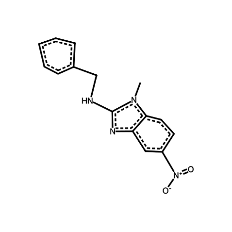 Cn1c(NCc2ccccc2)nc2cc([N+](=O)[O-])ccc21